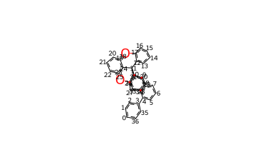 c1ccc(-c2cccc3cc(C45c6ccccc6Oc6cccc(c64)Oc4ccccc45)ccc23)cc1